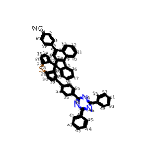 N#Cc1ccc(-c2cc3c(c4ccccc24)-c2ccccc2C32c3ccccc3Sc3ccc(-c4ccc(-c5nc(-c6ccccc6)nc(-c6ccccc6)n5)cc4)cc32)cc1